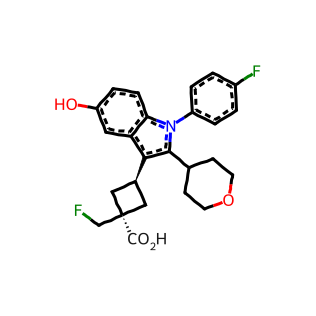 O=C(O)[C@]1(CF)C[C@@H](c2c(C3CCOCC3)n(-c3ccc(F)cc3)c3ccc(O)cc32)C1